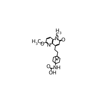 COc1ccc2c(n1)c(CCC13CCC(NC(=O)O)(CC1)CO3)cc(=O)n2C